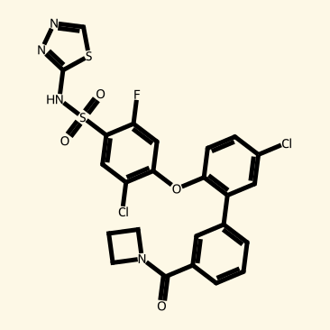 O=C(c1cccc(-c2cc(Cl)ccc2Oc2cc(F)c(S(=O)(=O)Nc3nncs3)cc2Cl)c1)N1CCC1